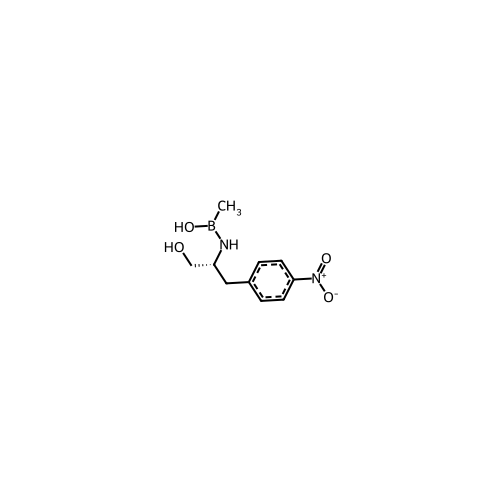 CB(O)N[C@@H](CO)Cc1ccc([N+](=O)[O-])cc1